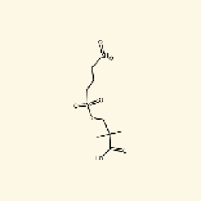 CC(C)(COS(=O)(=O)CCC[SH](=O)=O)C(=O)O